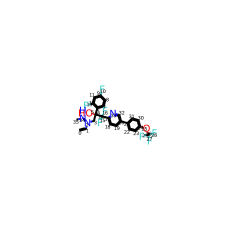 C=CN(C[C@](O)(c1ccc(F)cc1F)C(F)(F)c1ccc(-c2ccc(OC(F)(F)F)cc2)cn1)NC